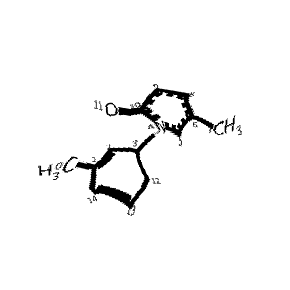 CC1=CC(n2cc(C)ccc2=O)CC=C1